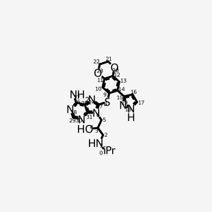 CC(C)NCC(O)Cn1c(Sc2cc3c(cc2-c2cc[nH]n2)OCCO3)nc2c(N)ncnc21